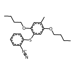 CCCCOc1cc(Sc2ccccc2[N+]#N)c(OCCCC)cc1C